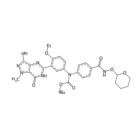 CCCc1nn(C)c2c(=O)[nH]c(-c3cc(N(C(=O)OC(C)(C)C)c4ccc(C(=O)NOC5CCCCO5)cc4)ccc3OCC)nc12